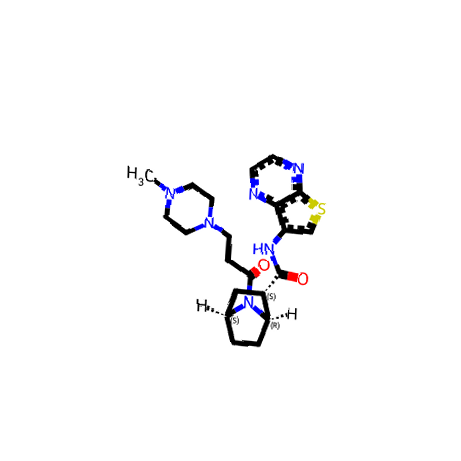 CN1CCN(CCC(=O)N2[C@H]3CC[C@@H]2[C@@H](C(=O)Nc2csc4nccnc24)C3)CC1